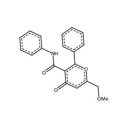 COCc1cc(=O)c(C(=O)Nc2ccccc2)c(-c2ccccc2)o1